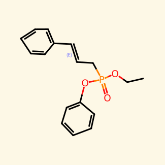 CCOP(=O)(C/C=C/c1ccccc1)Oc1ccccc1